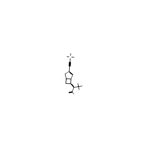 CC(C)(C)/C(C(=O)O)=C1/C[C@H]2CC(C#C[Si](C)(C)C)=C[C@@H]12